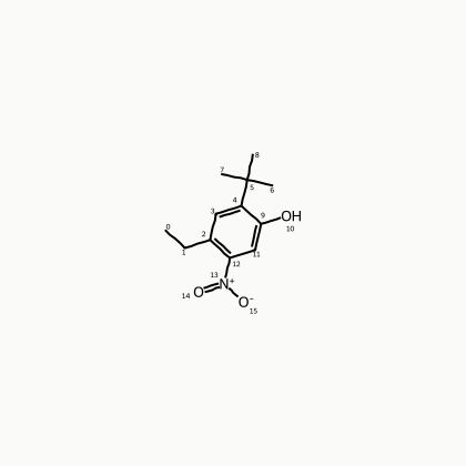 CCc1cc(C(C)(C)C)c(O)cc1[N+](=O)[O-]